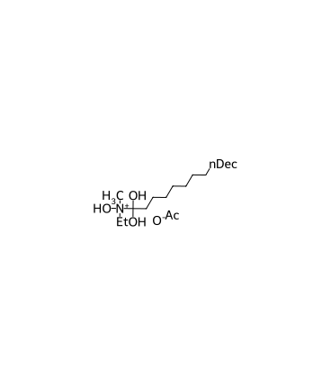 CC(=O)[O-].CCCCCCCCCCCCCCCCCC(O)(O)[N+](C)(O)CC